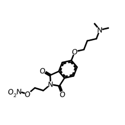 CN(C)CCCOc1ccc2c(c1)C(=O)N(CCO[N+](=O)[O-])C2=O